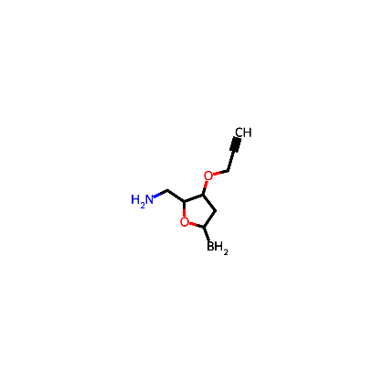 BC1CC(OCC#C)C(CN)O1